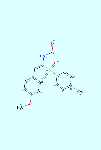 COc1ccc(/C=C(/NC=O)S(=O)(=O)c2ccc(C)cc2)cc1